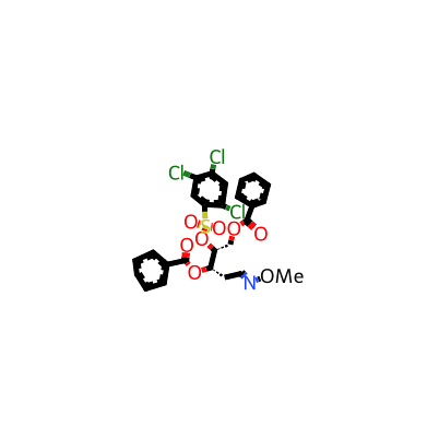 CON=CC[C@H](OC(=O)c1ccccc1)[C@@H](COC(=O)c1ccccc1)OS(=O)(=O)c1cc(Cl)c(Cl)cc1Cl